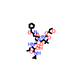 CCC[C@H](NC(=O)[C@@H]1C[C@]2(CC(C(=O)c3ccccc3)=NO2)CN1C(=O)[C@@H](NC(=O)O[C@H]1CCOC1)C(C)(C)C)C(O)C(=O)NC1CC1